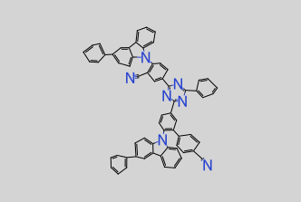 N#Cc1ccc(-c2cc(-c3nc(-c4ccccc4)nc(-c4ccc(-n5c6ccccc6c6cc(-c7ccccc7)ccc65)c(C#N)c4)n3)ccc2-n2c3ccccc3c3cc(-c4ccccc4)ccc32)cc1